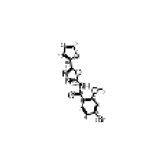 COc1cc(Br)ccc1C(=O)Nc1nnc(-c2cccs2)o1